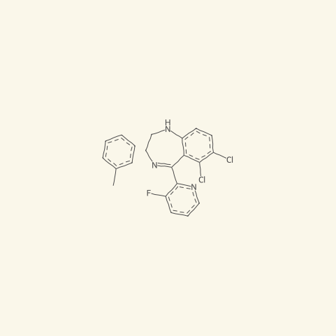 Cc1ccccc1.Fc1cccnc1C1=NCCNc2ccc(Cl)c(Cl)c21